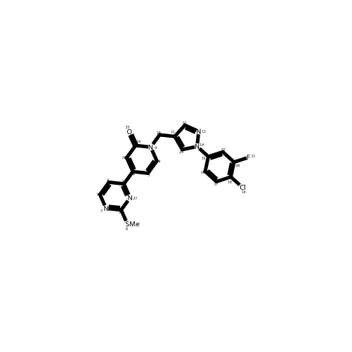 CSc1nccc(-c2ccn(Cc3cnn(-c4ccc(Cl)c(F)c4)c3)c(=O)c2)n1